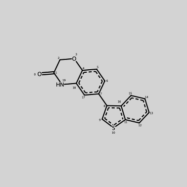 O=C1COc2ccc(-c3csc4ccccc34)cc2N1